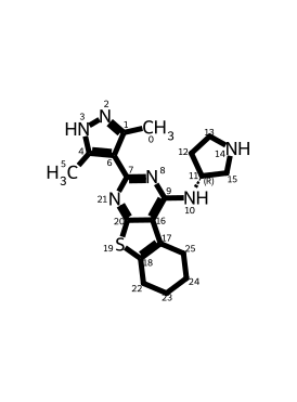 Cc1n[nH]c(C)c1-c1nc(N[C@@H]2CCNC2)c2c3c(sc2n1)CCCC3